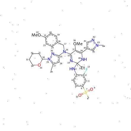 CCC1(Nc2ccc(S(C)(=O)=O)cc2F)N=C(N(Cc2ccc(OC)cc2)c2cc(C)n(C3CCCCO3)n2)C(OC)=C(c2cnn(C)c2)N1